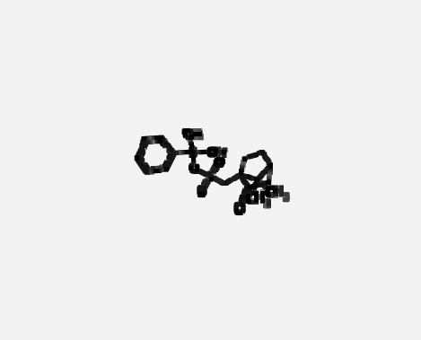 CC1(C)C2CCC1(CS(=O)(=O)OS(O)(O)c1ccccc1)C(=O)C2